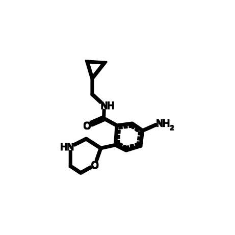 Nc1ccc(C2CNCCO2)c(C(=O)NCC2CC2)c1